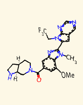 COc1cc(C(=O)N2CC[C@@H]3CCN[C@@H]3C2)cc2nc(-c3cc4cncnc4n3CC(F)(F)F)n(C)c12